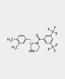 Cc1ccc(C[C@H]2CNCCN2C(=O)c2cc(C(F)(F)F)cc(C(F)(F)F)c2)cc1C